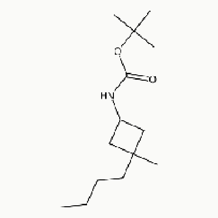 CCCCC1(C)CC(NC(=O)OC(C)(C)C)C1